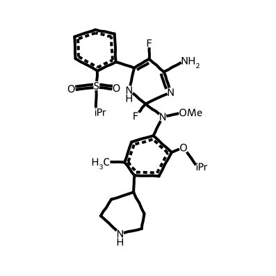 CON(c1cc(C)c(C2CCNCC2)cc1OC(C)C)C1(F)N=C(N)C(F)=C(c2ccccc2S(=O)(=O)C(C)C)N1